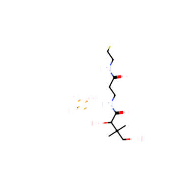 CC(C)(CO)C(O)C(=O)NCCC(=O)NCCS.O=S(=O)(O)O